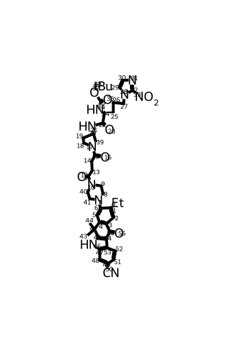 CCc1cc2c(cc1N1CCN(C(=O)CCC(=O)N3CC[C@@H](NC(=O)[C@H](CCCn4ccnc4[N+](=O)[O-])NC(=O)OC(C)(C)C)C3)CC1)C(C)(C)c1[nH]c3cc(C#N)ccc3c1C2=O